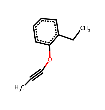 CC#COc1ccccc1CC